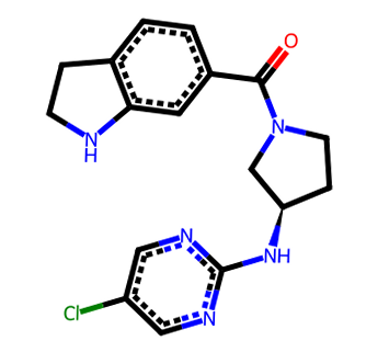 O=C(c1ccc2c(c1)NCC2)N1CC[C@@H](Nc2ncc(Cl)cn2)C1